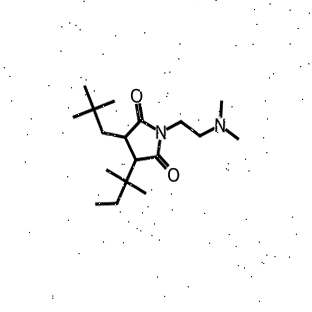 CCC(C)(C)C1C(=O)N(CCN(C)C)C(=O)C1CC(C)(C)C